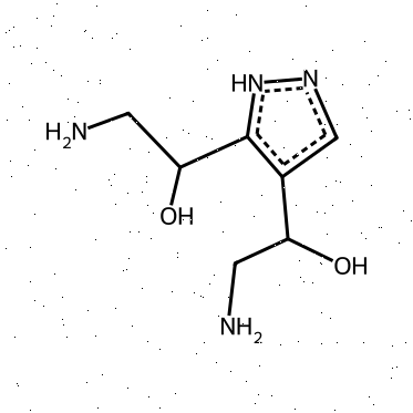 NCC(O)c1cn[nH]c1C(O)CN